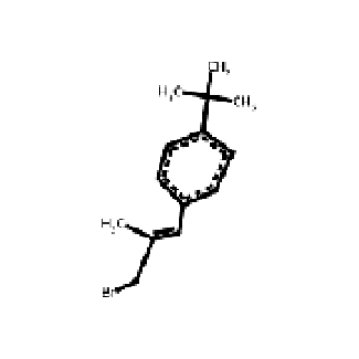 C/C(=C\c1ccc(C(C)(C)C)cc1)CBr